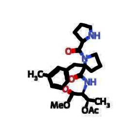 COC(=O)[C@@H](NC(=O)C1(Cc2cccc(C)c2)CCCN1C(=O)C1CCCN1)[C@@H](C)OC(C)=O